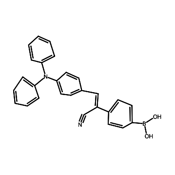 N#CC(=Cc1ccc(N(c2ccccc2)c2ccccc2)cc1)c1ccc(B(O)O)cc1